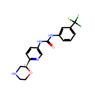 O=C(Nc1ccc([C@@H]2CNCCO2)nc1)Nc1cccc(C(F)(F)F)c1